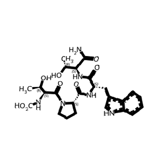 C[C@@H](O)[C@H](NC(=O)[C@H](Cc1c[nH]c2ccccc12)NC(=O)[C@@H]1CCCN1C(=O)[C@@H](NC(=O)O)[C@@H](C)O)C(N)=O